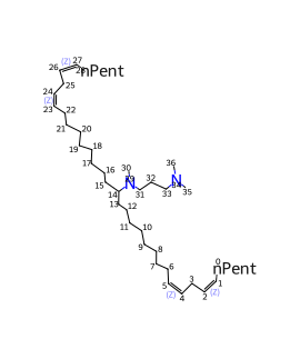 CCCCC/C=C\C/C=C\CCCCCCCCC(CCCCCCCC/C=C\C/C=C\CCCCC)N(C)CCCN(C)C